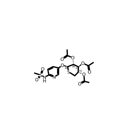 CC(=O)O[C@@H]1[C@@H](OC(C)=O)[C@H](OC(C)=O)CS[C@H]1Oc1ccc(NS(C)(=O)=O)nc1